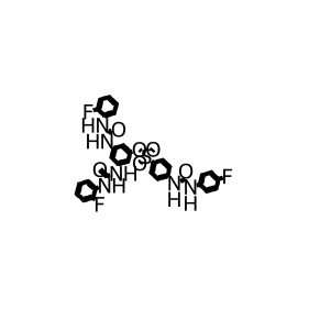 O=C(Nc1ccc(F)cc1)Nc1ccc(S(=O)(=O)Oc2cc(NC(=O)Nc3ccccc3F)cc(NC(=O)Nc3ccccc3F)c2)cc1